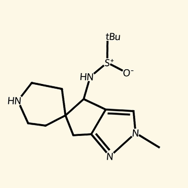 Cn1cc2c(n1)CC1(CCNCC1)C2N[S+]([O-])C(C)(C)C